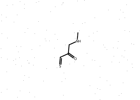 CNCC(=O)C=S